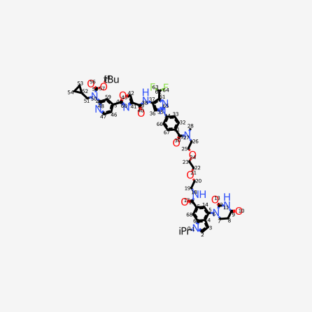 CC(C)n1ccc2c(N3CCC(=O)NC3=O)cc(C(=O)NCCOCCOCCN(C)C(=O)c3ccc(-n4cc(NC(=O)c5coc(-c6ccnc(N(CC7CC7)C(=O)OC(C)(C)C)c6)n5)c(C(F)F)n4)cc3)cc21